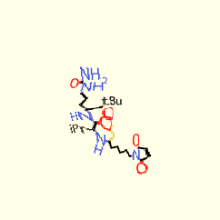 CC(C)[C@H](NC(=S)CCCCCN1C(=O)C=CC1=O)C(=O)N[C@@H](CCCNC(N)=O)C(=O)C(C)(C)C